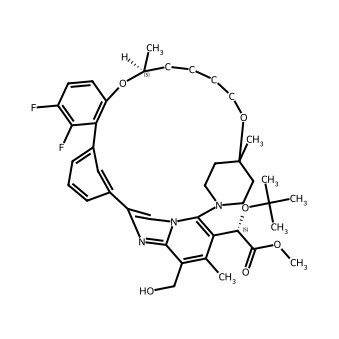 COC(=O)[C@@H](OC(C)(C)C)c1c(C)c(CO)c2nc3cn2c1N1CCC(C)(CC1)OCCCC[C@H](C)Oc1ccc(F)c(F)c1-c1cccc-3c1